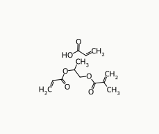 C=CC(=O)O.C=CC(=O)OC(C)COC(=O)C(=C)C